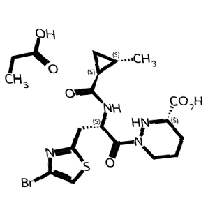 CCC(=O)O.C[C@H]1C[C@@H]1C(=O)N[C@@H](Cc1nc(Br)cs1)C(=O)N1CCC[C@@H](C(=O)O)N1